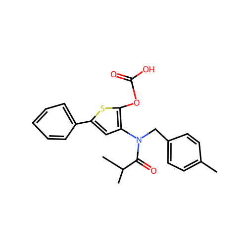 Cc1ccc(CN(C(=O)C(C)C)c2cc(-c3ccccc3)sc2OC(=O)O)cc1